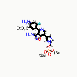 CCOC(=O)c1cc(-c2ncc(-c3cnn(COP(=O)(OC(C)(C)C)OC(C)(C)C)c3)c3onc(N)c23)c(F)cc1N